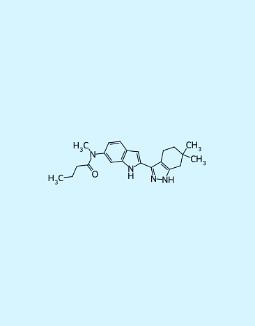 CCCC(=O)N(C)c1ccc2cc(-c3n[nH]c4c3CCC(C)(C)C4)[nH]c2c1